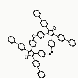 C#Cc1ccc(C2=C(c3ccc(-c4ccccc4)cc3)C(=O)C(c3ccc(-c4ccccc4)cc3)=C2c2ccc(Oc3ccc(C4=C(c5ccc(-c6ccccc6)cc5)C(=O)C(c5ccc(-c6ccccc6)cc5)=C4c4ccc(C#C)cc4)cc3)cc2)cc1